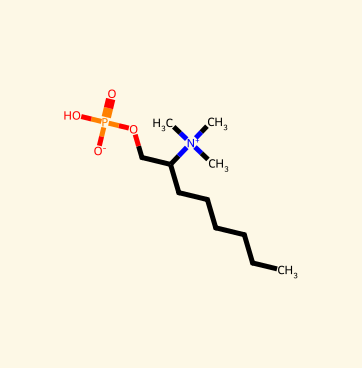 CCCCCCC(COP(=O)([O-])O)[N+](C)(C)C